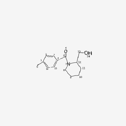 Cc1ccc(C(=O)N2CCCCC2CO)cc1